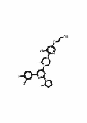 C[C@@H]1CN(c2ncc(OCCO)cc2Cl)CCN1c1cc(-c2ccc(F)c(Cl)c2)nc(N2CCC[C@H]2C)n1